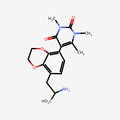 Cc1c(-c2ccc(CC(N)C(=O)O)c3c2OCCO3)c(=O)n(C)c(=O)n1C